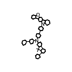 CC1(C)c2cc(N(c3ccc(-c4ccccc4)cc3)c3ccc(-c4ccc(-n5c6ccccc6c6cc7oc8ccccc8c7cc65)cc4)cc3)ccc2-c2cccc(-c3ccccc3)c21